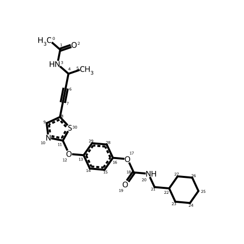 CC(=O)NC(C)C#Cc1cnc(Oc2ccc(OC(=O)NCC3CCCCC3)cc2)s1